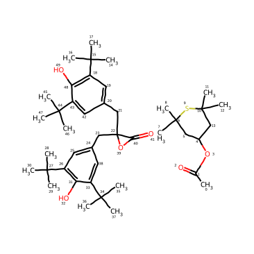 CC(=O)OC1CC(C)(C)SC(C)(C)C1.CC(C)(C)c1cc(CC2(Cc3cc(C(C)(C)C)c(O)c(C(C)(C)C)c3)OC2=O)cc(C(C)(C)C)c1O